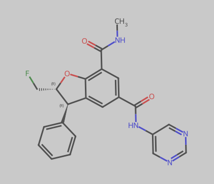 CNC(=O)c1cc(C(=O)Nc2cncnc2)cc2c1O[C@@H](CF)[C@@H]2c1ccccc1